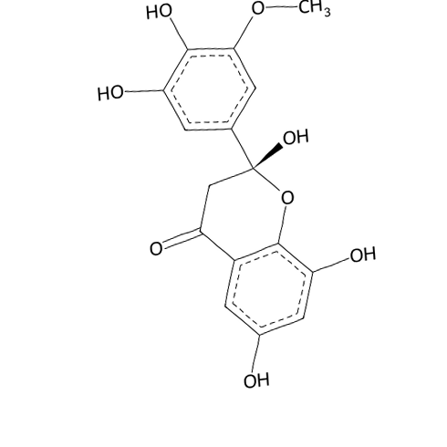 COc1cc([C@@]2(O)CC(=O)c3cc(O)cc(O)c3O2)cc(O)c1O